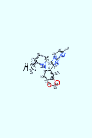 Cc1cccc(-c2c(-c3ccc4c(c3)OCO4)nc3ncccn23)n1